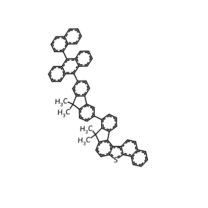 CC1(C)c2ccc(-c3cccc4c3C(C)(C)c3ccc5sc6c7ccccc7ccc6c5c3-4)cc2-c2ccc(-c3c4ccccc4c(-c4cccc5ccccc45)c4ccccc34)cc21